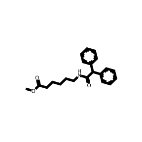 COC(=O)CCCCCNC(=O)C(c1ccccc1)c1ccccc1